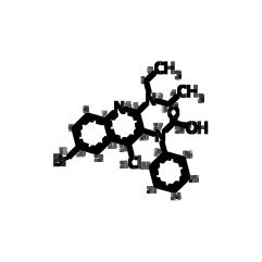 CCN(CC)c1nc2ccc(Br)cc2c(Cl)c1N(C(=O)O)c1ccccc1